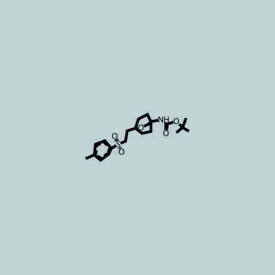 Cc1ccc(S(=O)(=O)CCC23CCC(NC(=O)OC(C)(C)C)(CC2)CO3)cc1